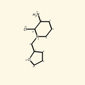 NC1[CH]CCN(CC2CCCO2)C1Cl